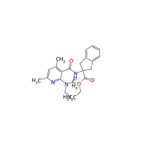 CCOC(=O)C1(NC(=O)c2c(C)cc(C)nc2N(C)CC)Cc2ccccc2C1